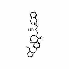 CCC1CCCN1Cc1ccc2c(c1)OCCN(C[C@H](O)CN1CCc3ccccc3C1)C2=O